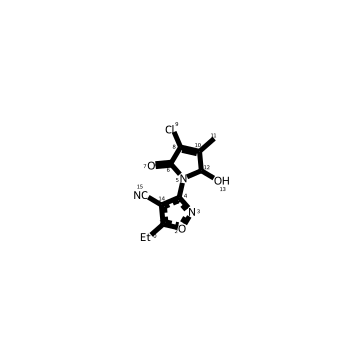 CCc1onc(N2C(=O)C(Cl)=C(C)C2O)c1C#N